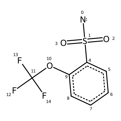 [N]S(=O)(=O)c1ccccc1OC(F)(F)F